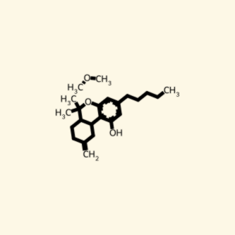 C=C1CCC2C(C1)c1c(O)cc(CCCCC)cc1OC2(C)C.COC